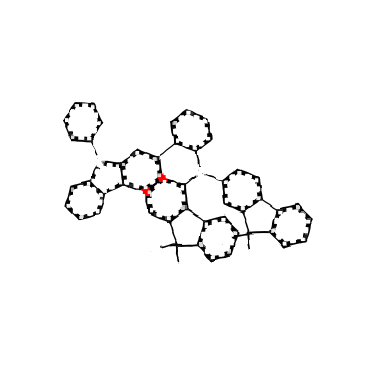 CC1(C)c2ccccc2-c2ccc(N(c3ccccc3-c3ccc4c5ccccc5n(-c5ccccc5)c4c3)c3cccc4c3-c3ccccc3C4(C)C)cc21